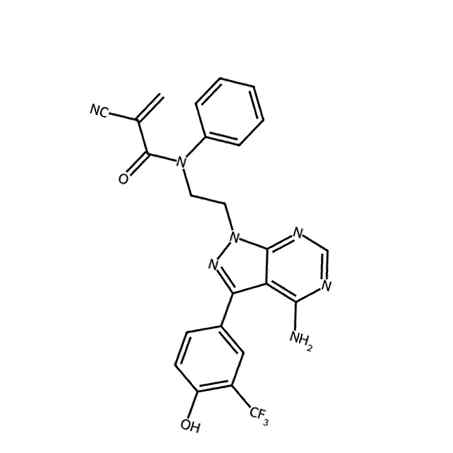 C=C(C#N)C(=O)N(CCn1nc(-c2ccc(O)c(C(F)(F)F)c2)c2c(N)ncnc21)c1ccccc1